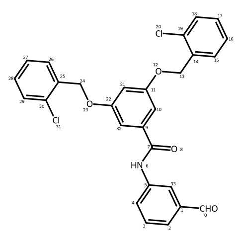 O=Cc1cccc(NC(=O)c2cc(OCc3ccccc3Cl)cc(OCc3ccccc3Cl)c2)c1